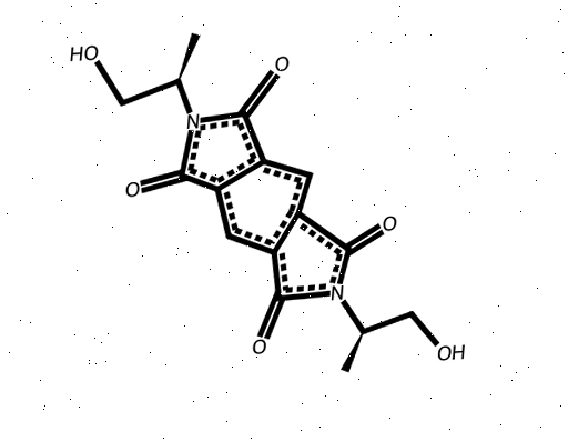 C[C@H](CO)n1c(=O)c2cc3c(=O)n([C@H](C)CO)c(=O)c3cc2c1=O